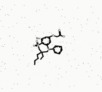 CCCCC1(CC)CN(c2ccccc2)c2cc(OCC(=O)[O-])ccc2S(=O)(=O)C1.[Na+]